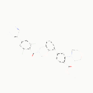 COC(=O)c1ccc(-c2cccc3c2OCN(C(=O)c2c(Cl)cc(/C(C=N)=C/N)cc2Cl)C3)cc1N1CCOCC1